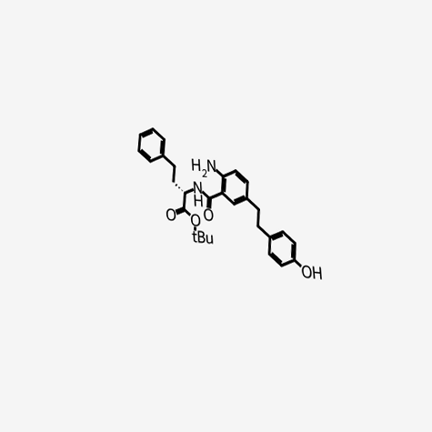 CC(C)(C)OC(=O)[C@H](CCc1ccccc1)NC(=O)c1cc(CCc2ccc(O)cc2)ccc1N